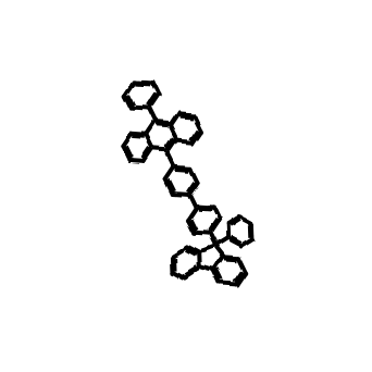 c1ccc(-c2c3ccccc3c(-c3ccc(-c4ccc(C5(c6ccccc6)c6ccccc6-c6ccccc65)cc4)cc3)c3ccccc23)cc1